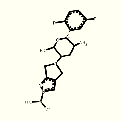 C[S+]([O-])n1cc2c(n1)CN(C1CC(N)[C@@H](c3cc(F)ccc3F)OC1C(F)(F)F)C2